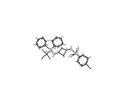 Cc1ccc(S(=O)(=O)OC2CC(O[Si](c3ccccc3)(c3ccccc3)C(C)(C)C)C2)cc1